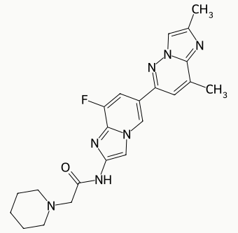 Cc1cn2nc(-c3cc(F)c4nc(NC(=O)CN5CCCCC5)cn4c3)cc(C)c2n1